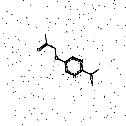 CC(=O)COc1cnc([SH](C)C)nc1